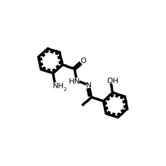 C/C(=N\NC(=O)c1ccccc1N)c1ccccc1O